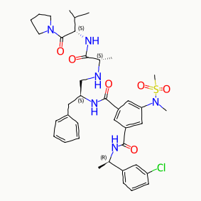 CC(C)[C@H](NC(=O)[C@H](C)NC[C@H](Cc1ccccc1)NC(=O)c1cc(C(=O)N[C@H](C)c2cccc(Cl)c2)cc(N(C)S(C)(=O)=O)c1)C(=O)N1CCCC1